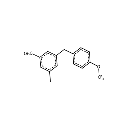 Cc1cc(C=O)cc(Cc2ccc(OC(F)(F)F)cc2)c1